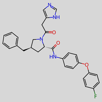 O=C(Nc1ccc(Oc2ccc(F)cc2)cc1)[C@@H]1C[C@@H](Cc2ccccc2)CN1C(=O)Cc1cnc[nH]1